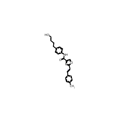 Cc1ccc(/C=C/c2nc(C(=O)Nc3ccc(CCCCO)cc3)co2)cc1